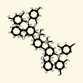 Cc1ccc(N(c2ccc(C)cc2C)c2cc3c(c4oc5ccccc5c24)-c2ccc4c(c2[Si]3(C)C)[Si](C)(C)c2cc(N(c3ccc(C)cc3C)c3ccc(C)cc3C)c3c(oc5ccccc53)c2-4)c(C)c1